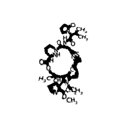 CCn1c(-c2cccnc2[C@H](C)OC)c2c3cc(ccc31)-c1csc(n1)C[C@H](NC(=O)C(C(C)C)N1CCCC1=O)C(=O)N1CCC[C@H](N1)C(=O)OCC(C)(C)C2